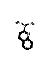 CCCCN(CCCC)c1ccc2ccccc2n1